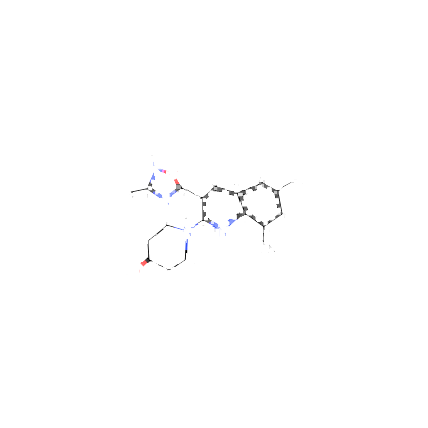 CCc1cc(C#N)c2nc(N3CCC(=O)CC3)c(-c3nc(C)no3)cc2c1